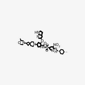 CC1CN(C2CC3(CCN(c4ccc(C(=O)NS(=O)(=O)c5cnc(NC[C@H]6CC[C@@H](C)CC6)c([N+](=O)[O-])c5)c(Oc5cnc6[nH]ccc6c5)c4)CC3)C2)CCO1